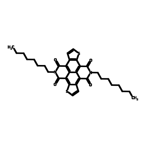 CCCCCCCCN1C(=O)c2c3ccsc3c3c4c(c5ccsc5c(c24)C1=O)C(=O)N(CCCCCCCC)C3=O